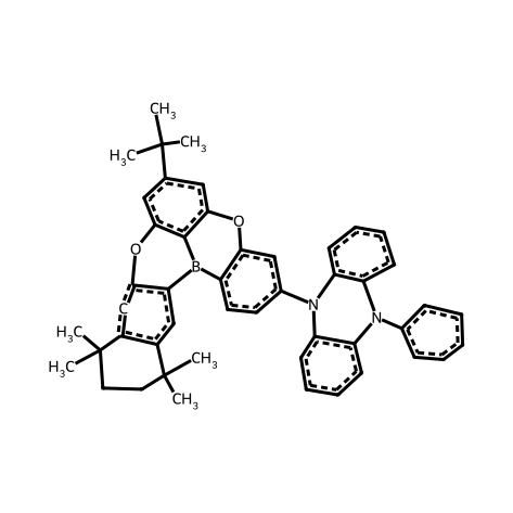 CC(C)(C)c1cc2c3c(c1)Oc1cc4c(cc1B3c1ccc(N3c5ccccc5N(c5ccccc5)c5ccccc53)cc1O2)C(C)(C)CCC4(C)C